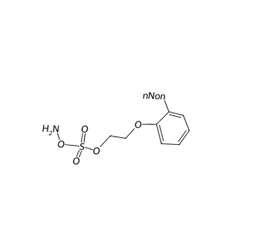 CCCCCCCCCc1ccccc1OCCOS(=O)(=O)ON